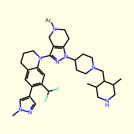 CC(=O)N1CCc2c(c(N3CCCc4cc(-c5cnn(C)c5)c(C(F)F)cc43)nn2C2CCN(CC3C(C)CNCC3C)CC2)C1